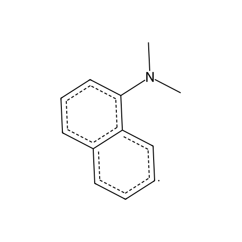 CN(C)c1cccc2cc[c]cc12